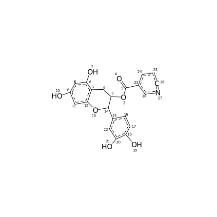 O=C(OC1Cc2c(O)cc(O)cc2OC1c1ccc(O)c(O)c1)c1cccnc1